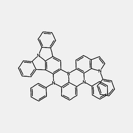 c1ccc(N2c3cccc4c3B(c3cc5c6ccccc6n6c7ccccc7c(c32)c56)c2ccc3ccn(-c5ccccc5)c3c2N4c2ccccc2)cc1